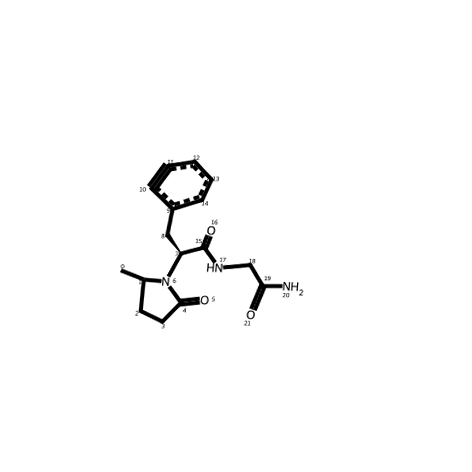 CC1CCC(=O)N1[C@@H](Cc1c#cccc1)C(=O)NCC(N)=O